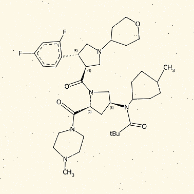 CC1CCC(N(C(=O)C(C)(C)C)[C@H]2C[C@@H](C(=O)N3CCN(C)CC3)N(C(=O)[C@@H]3CN(C4CCOCC4)C[C@H]3c3ccc(F)cc3F)C2)CC1